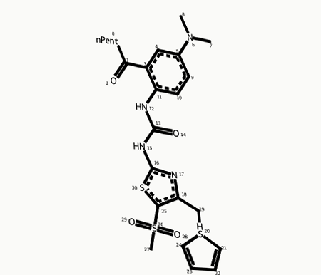 CCCCCC(=O)c1cc(N(C)C)ccc1NC(=O)Nc1nc(C[SH]2C=CC=C2)c(S(C)(=O)=O)s1